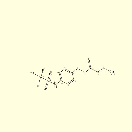 CCOC(=O)CCc1ccc(NS(=O)(=O)C(F)(F)F)cc1